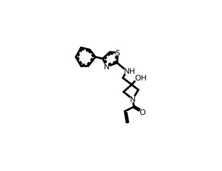 C=CC(=O)N1CC(O)(CNc2nc(-c3ccccc3)cs2)C1